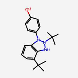 CC(C)(C)c1cccc2c1NN(C(C)(C)C)N2c1ccc(O)cc1